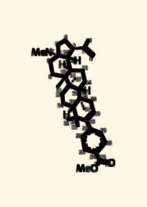 C=C(C)[C@@H]1CC[C@]2(NC)CC[C@]3(C)[C@H](CC[C@@H]4[C@@]5(C)CC=C(c6ccc(C(=O)OC)cc6)C(C)(C)[C@@H]5CC[C@]43C)[C@@H]12